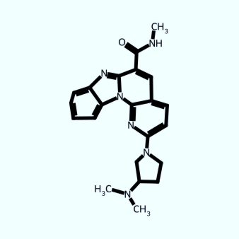 CNC(=O)c1cc2ccc(N3CCC(N(C)C)C3)nc2n2c1nc1ccccc12